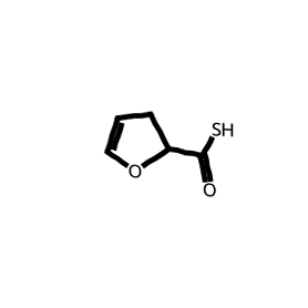 O=C(S)C1CC=CO1